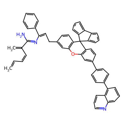 C=C/C=C\C(=C)/C(N)=N/C(=C\Cc1ccc2c(c1)Oc1cc(-c3ccc(-c4cccc5ncccc45)cc3)ccc1C21c2ccccc2-c2ccccc21)c1ccccc1